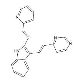 C(=C\c1[nH]c2ccccc2c1/C=C/c1ccncn1)/c1ccccn1